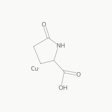 O=C1CCC(C(=O)O)N1.[Cu]